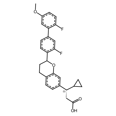 COc1ccc(F)c(-c2ccc(C3CCc4ccc([C@@H](CC(=O)O)C5CC5)cc4O3)c(F)c2)c1